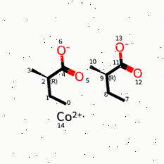 CC[C@@H](C)C(=O)[O-].CC[C@@H](C)C(=O)[O-].[Co+2]